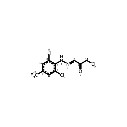 O=C(C=NNc1c(Cl)cc(C(F)(F)F)cc1Cl)CCl